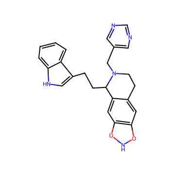 c1ccc2c(CCC3c4cc5c(cc4CCN3Cc3cncnc3)ONO5)c[nH]c2c1